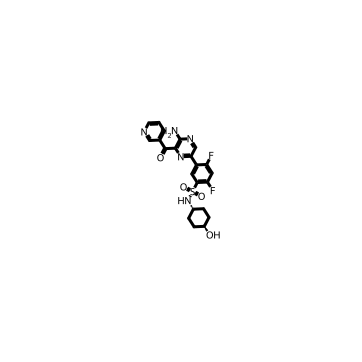 Nc1ncc(-c2cc(S(=O)(=O)N[C@H]3CC[C@H](O)CC3)c(F)cc2F)nc1C(=O)c1cccnc1